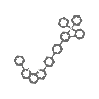 c1ccc(-c2ccc3ccc4ccc(-c5ccc(-c6ccc(-c7ccc8c(c7)-c7ccccc7[Si]8(c7ccccc7)c7ccccc7)cc6)cc5)nc4c3n2)cc1